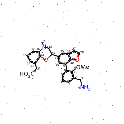 COc1c(CN)cccc1-c1cc(C2CN(C)c3cccc(CC(=O)O)c3O2)cc2ccoc12